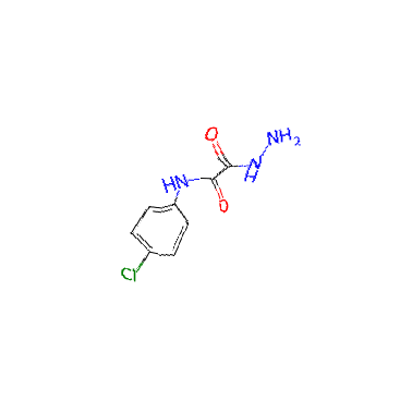 NNC(=O)C(=O)Nc1ccc(Cl)cc1